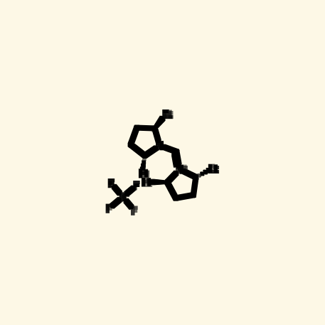 CC[C@@H]1CC[C@@H](CC)N1C=[N+]1[C@H](CC)CC[C@H]1CC.F[B-](F)(F)F